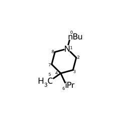 CCCCN1CCC(C)(C(C)C)CC1